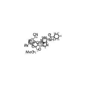 COC[C@H]1O[C@@H](n2cnc3c(NC(=O)c4ccccc4)ncnc32)[C@H](OC)[C@@H]1OP(OCCC#N)N(C(C)C)C(C)C